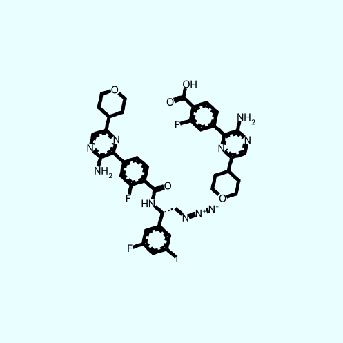 Nc1ncc(C2CCOCC2)nc1-c1ccc(C(=O)O)c(F)c1.[N-]=[N+]=NC[C@@H](NC(=O)c1ccc(-c2nc(C3CCOCC3)cnc2N)cc1F)c1cc(F)cc(I)c1